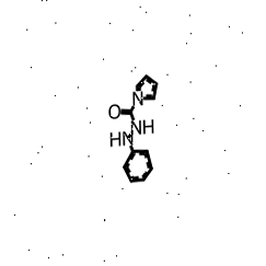 O=C(NNc1ccccc1)n1cccc1